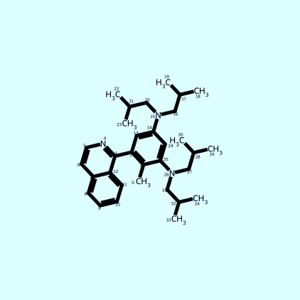 Cc1c(-c2nccc3ccccc23)cc(N(CC(C)C)CC(C)C)cc1N(CC(C)C)CC(C)C